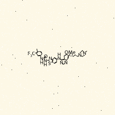 COc1cc2c(Nc3ccc4sc(NC(=O)Nc5ccc(C)c(C(F)(F)F)c5)nc4c3)ncnc2cc1OCCCN1CCN(C)CC1